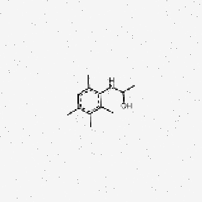 Cc1cc(C)c(NC(C)O)c(C)c1C